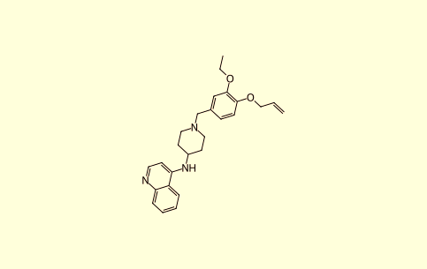 C=CCOc1ccc(CN2CCC(Nc3ccnc4ccccc34)CC2)cc1OCC